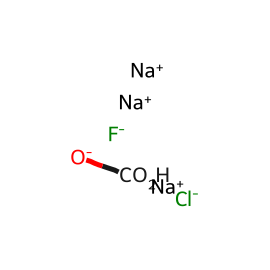 O=C([O-])O.[Cl-].[F-].[Na+].[Na+].[Na+]